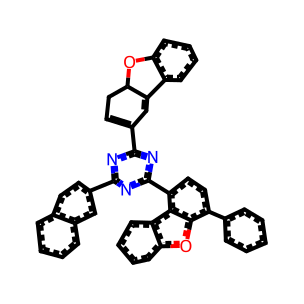 C1=C(c2nc(-c3ccc4ccccc4c3)nc(-c3ccc(-c4ccccc4)c4oc5ccccc5c34)n2)C=C2c3ccccc3OC2C1